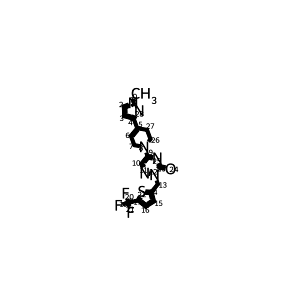 Cn1ccc(C2=CCN(c3cnn(Cc4ccc(C(F)(F)F)s4)c(=O)n3)CC2)n1